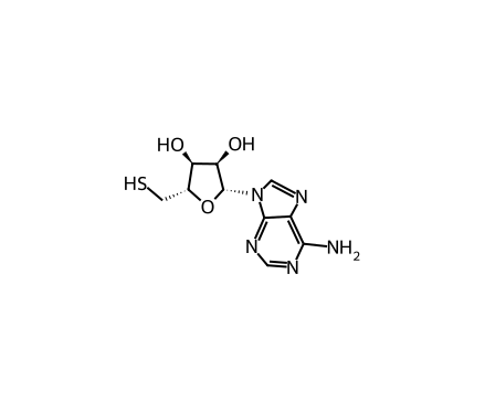 Nc1ncnc2c1ncn2[C@@H]1O[C@H](CS)[C@@H](O)[C@H]1O